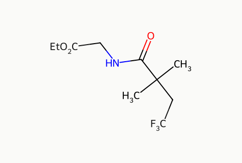 CCOC(=O)CNC(=O)C(C)(C)CC(F)(F)F